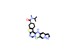 CC(C)N(C)C(=O)[C@H]1CCc2c(sc3ncnc(Nc4cc5ccnn5cc4Cl)c23)C1